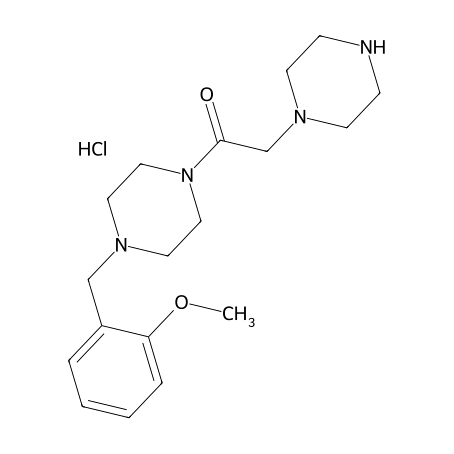 COc1ccccc1CN1CCN(C(=O)CN2CCNCC2)CC1.Cl